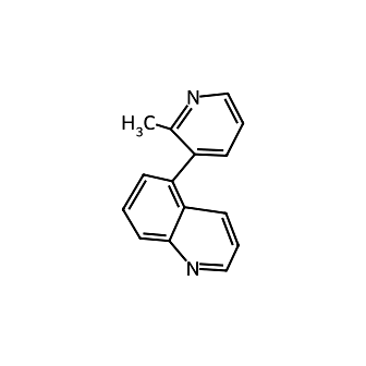 Cc1ncccc1-c1cccc2ncccc12